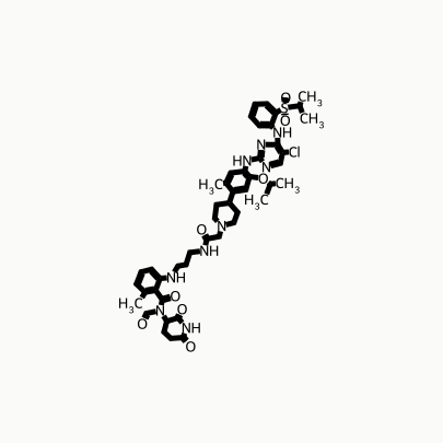 Cc1cc(Nc2ncc(Cl)c(Nc3ccccc3S(=O)(=O)C(C)C)n2)c(OC(C)C)cc1C1CCN(CC(=O)NCCCNc2cccc(C)c2C(=O)N(C=O)C2CCC(=O)NC2=O)CC1